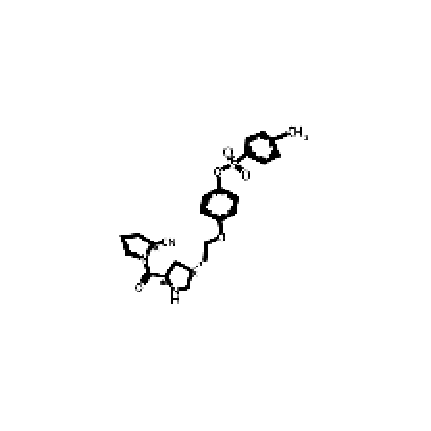 Cc1ccc(S(=O)(=O)Oc2ccc(OCC[C@@H]3CN[C@@H](C(=O)N4CCC[C@H]4C#N)C3)cc2)cc1